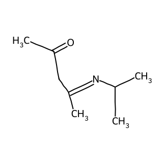 CC(=O)CC(C)=NC(C)C